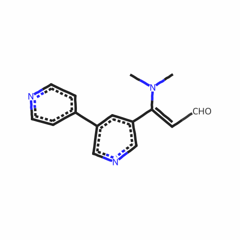 CN(C)C(=CC=O)c1cncc(-c2ccncc2)c1